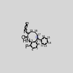 O=C1Nc2c(F)cccc2/C(c2ccccc2)=C\CCC1N=C=S